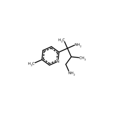 Cc1ccc(C(C)(N)C(C)CN)nc1